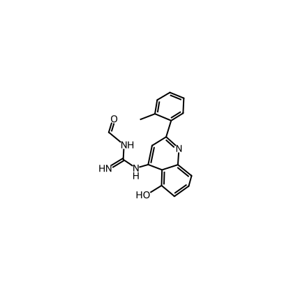 Cc1ccccc1-c1cc(NC(=N)NC=O)c2c(O)cccc2n1